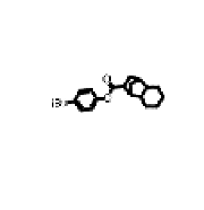 CCC(C)c1ccc(OC(=O)C2CC3CC2C2CCCCC32)cc1